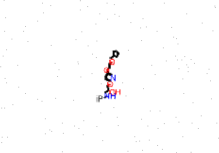 CC(C)NCC(O)COc1ccc(OCCOCC2CCCC2)cn1